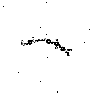 CCCCN(CCCC)c1ccc(/C=C/c2cc(OC)c(/C=C/c3ccc(N(C)CCCCCCOC(=O)c4ccc(C(=O)COC(C)=O)cc4)cc3)cc2OC)cc1